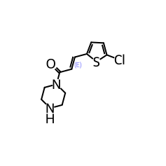 O=C(/C=C/c1ccc(Cl)s1)N1CCNCC1